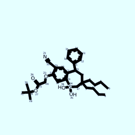 CCCCC1(CCCC)CC(c2ccccc2)c2cc(C#N)c(OCC(=O)OC(C)(C)C)cc2S(O)(O)C1